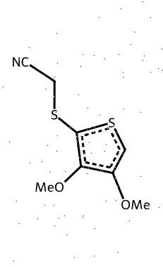 COc1csc(SCC#N)c1OC